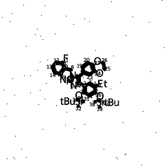 CCc1cc(-c2nnn(Cc3c(F)cccc3[N+](=O)[O-])c2-c2ccc3c(c2)OCCO3)c(O[Si](C)(C)C(C)(C)C)cc1O[Si](C)(C)C(C)(C)C